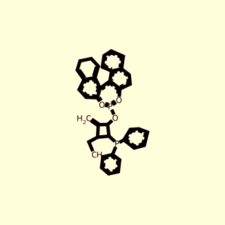 C=C1C(CC)C(P(c2ccccc2)c2ccccc2)C1Op1oc2ccc3c(c2c2c(ccc4ccccc42)o1)=CCCC=3